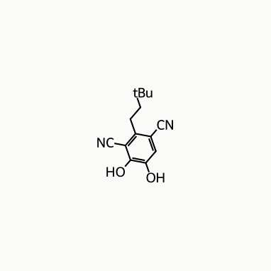 CC(C)(C)CCc1c(C#N)cc(O)c(O)c1C#N